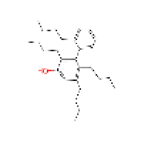 CCCCc1ccccc1-c1c(CCCC)c(O)cc(CCCC)c1CCCC